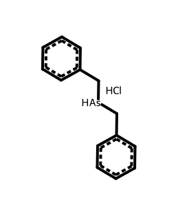 Cl.c1ccc(C[AsH]Cc2ccccc2)cc1